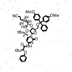 COc1ccc(C(OC[C@H]2O[C@@H](n3ccc(NC(=O)C(Oc4ccccc4)C(C)(C)C)nc3=O)[C@H](O[Si](C)(C)C(C)(C)C)[C@@H]2OP(O)N[N+](CCC#N)(C(C)C)C(C)C)(c2ccccc2)c2ccc(OC)cc2)cc1